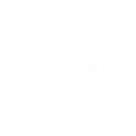 CC(CCc1ccccc1)C1CCNCC1